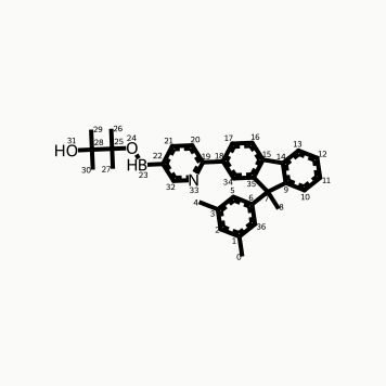 Cc1cc(C)cc(C2(C)c3ccccc3-c3ccc(-c4ccc(BOC(C)(C)C(C)(C)O)cn4)cc32)c1